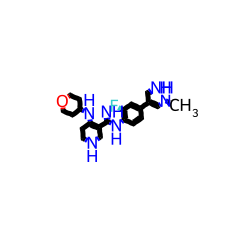 CN/C=C(\C=N)c1ccc(NC(=N)C2=C(NC3CCOCC3)CCNC2)c(F)c1